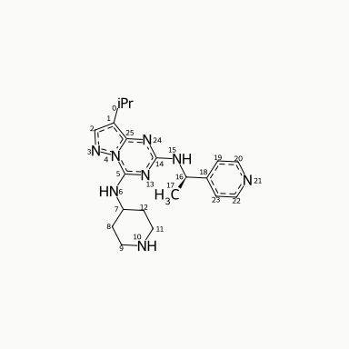 CC(C)c1cnn2c(NC3CCNCC3)nc(N[C@H](C)c3ccncc3)nc12